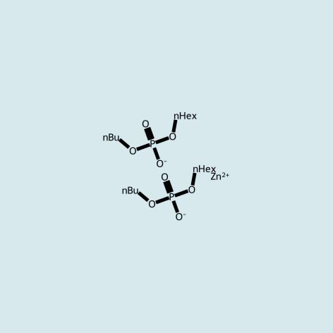 CCCCCCOP(=O)([O-])OCCCC.CCCCCCOP(=O)([O-])OCCCC.[Zn+2]